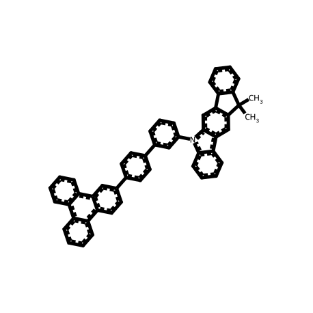 CC1(C)c2ccccc2-c2cc3c(cc21)c1ccccc1n3-c1cccc(-c2ccc(-c3ccc4c5ccccc5c5ccccc5c4c3)cc2)c1